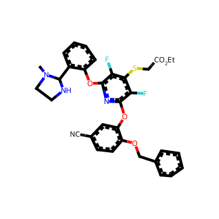 CCOC(=O)CSc1c(F)c(Oc2cc(C#N)ccc2OCc2ccccc2)nc(Oc2ccccc2C2NCCN2C)c1F